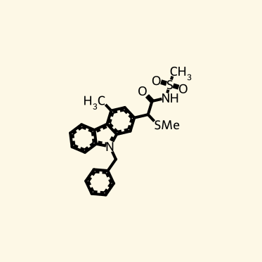 CSC(C(=O)NS(C)(=O)=O)c1cc(C)c2c3ccccc3n(Cc3ccccc3)c2c1